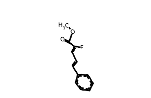 COC(=O)/C(F)=C/C=C/c1ccccc1